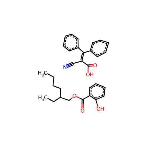 CCCCC(CC)COC(=O)c1ccccc1O.N#CC(C(=O)O)=C(c1ccccc1)c1ccccc1